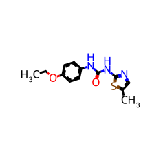 CCOc1ccc(NC(=O)Nc2ncc(C)s2)cc1